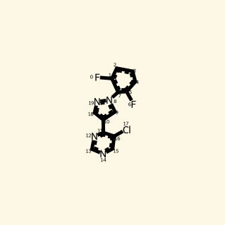 Fc1cccc(F)c1-n1cc(-c2ncncc2Cl)cn1